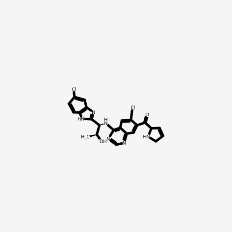 C[C@H](O)[C@@H](Nc1ncnc2cc(C(=O)C3C=CCN3)c(Cl)cc12)c1nc2cc(Cl)ccc2[nH]1